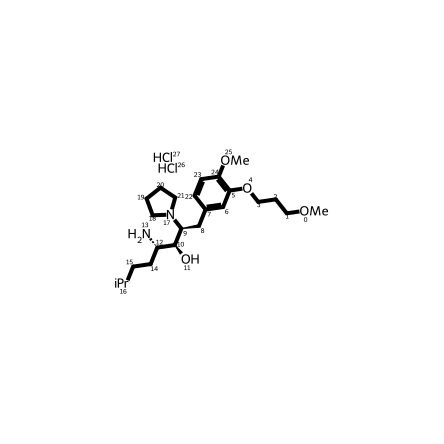 COCCCOc1cc(C[C@@H]([C@@H](O)[C@@H](N)CCC(C)C)N2CCCC2)ccc1OC.Cl.Cl